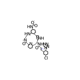 COC(=O)Nc1ccc2c(c1)NCCN(C)C(=O)c1cccc(n1)CC(NC(=O)/C=C/c1cc(Cl)ccc1-n1cnnn1)c1nc-2c[nH]1